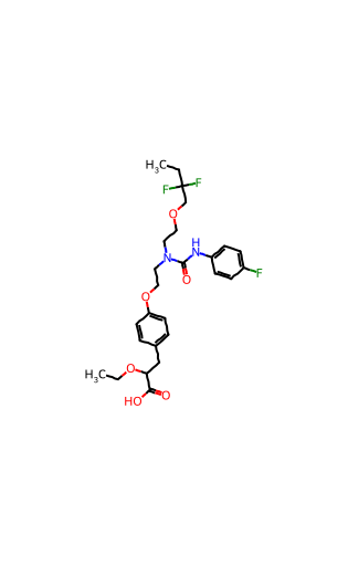 CCOC(Cc1ccc(OCCN(CCOCC(F)(F)CC)C(=O)Nc2ccc(F)cc2)cc1)C(=O)O